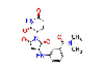 CN(C)C(=O)c1cccc(NC2=CC(=O)N(C3CCC(=O)NC3=O)C2=O)c1